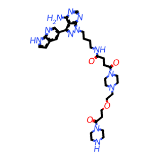 Nc1ncnc2c1c(-c1cnc3[nH]ccc3c1)nn2CCCCNC(=O)CCC(=O)N1CCN(CCOCCC(=O)N2CCNCC2)CC1